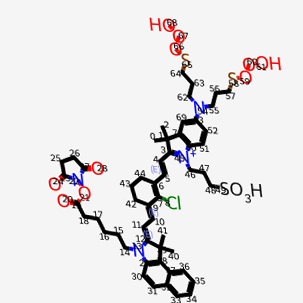 CC1(C)C(/C=C/C2=C(Cl)C(=C/C=C3/N(CCCCCC(=O)ON4C(=O)CCC4=O)c4ccc5ccccc5c4C3(C)C)/CCC2)=[N+](CCCS(=O)(=O)O)c2ccc(N(CCCSOOO)CCCSOOO)cc21